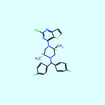 C[C@@H]1CN(c2nc(Cl)nc3ccsc23)[C@@H](C)CN1C(c1ccc(F)cc1)c1ccc(F)cc1